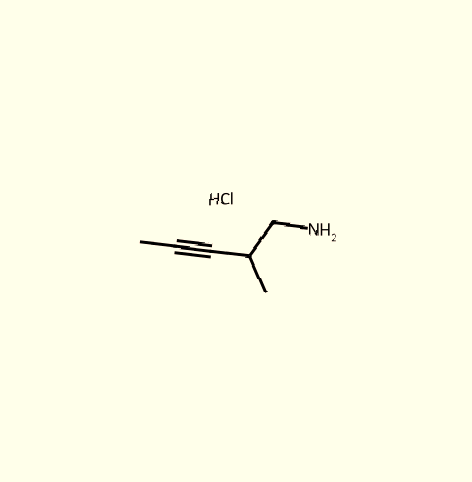 CC#CC(C)CN.Cl